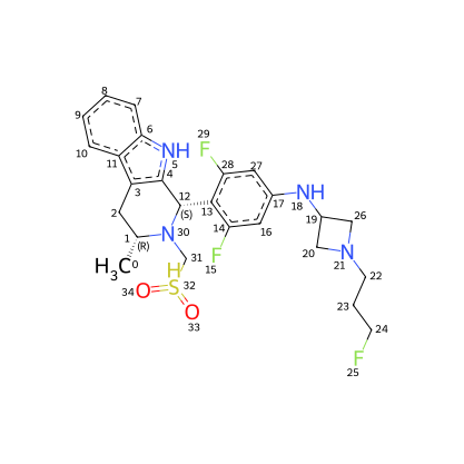 C[C@@H]1Cc2c([nH]c3ccccc23)[C@H](c2c(F)cc(NC3CN(CCCF)C3)cc2F)N1C[SH](=O)=O